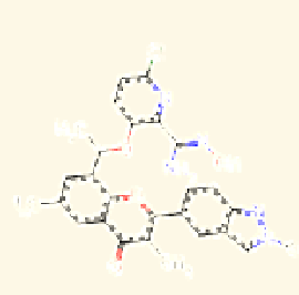 Cc1cc([C@@H](C)Oc2ccc(Cl)nc2C(N)=NO)c2oc(-c3ccc4nn(C)cc4c3)c(C)c(=O)c2c1